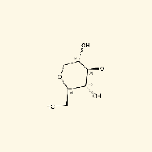 [O][C@H]1[C@H](O)[C@@H](CO)OC[C@@H]1O